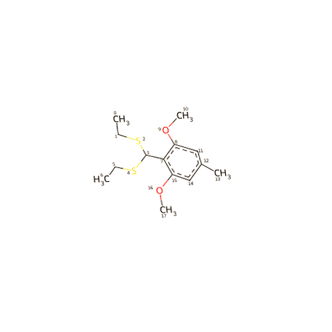 CCSC(SCC)c1c(OC)cc(C)cc1OC